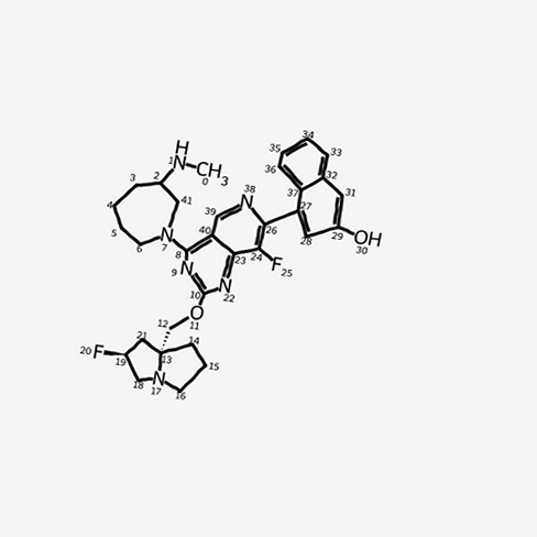 CNC1CCCCN(c2nc(OC[C@]34CCCN3C[C@@H](F)C4)nc3c(F)c(-c4cc(O)cc5ccccc45)ncc23)C1